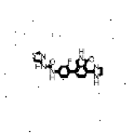 O=C(Nc1ccc(-c2ccc(-c3ncc[nH]3)c3c2CNC3=O)c(F)c1)Nc1cscn1